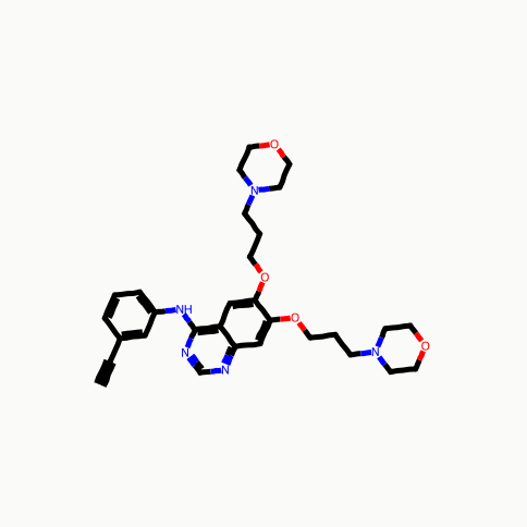 C#Cc1cccc(Nc2ncnc3cc(OCCCN4CCOCC4)c(OCCCN4CCOCC4)cc23)c1